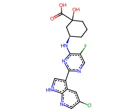 O=C(O)C1(O)CCC[C@@H](Nc2nc(-c3c[nH]c4ncc(Cl)cc34)ncc2F)C1